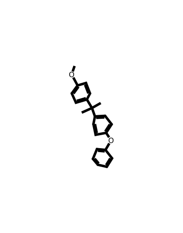 COc1ccc(C(C)(C)c2ccc(Oc3ccccc3)cc2)cc1